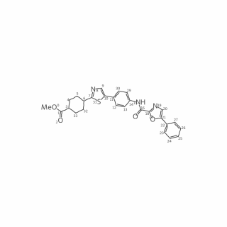 COC(=O)C1CCC(c2ncc(-c3ccc(NC(=O)c4ncc(-c5ccccc5)o4)cc3)s2)CC1